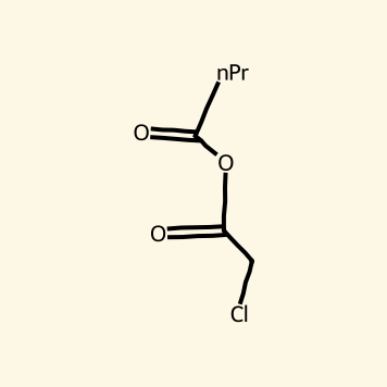 CCCC(=O)OC(=O)CCl